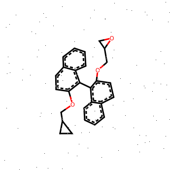 c1ccc2c(-c3c(OCC4CO4)ccc4ccccc34)c(OCC3CC3)ccc2c1